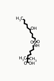 CCCCCC(O)CCCCS(=O)(=O)NCCCCCC(C)(C)C(=O)O